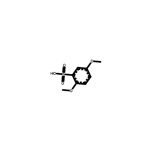 COc1[c]cc(OC)c(S(=O)(=O)O)c1